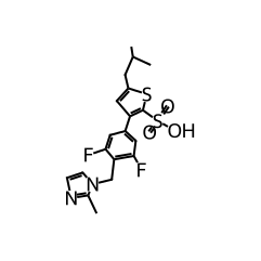 Cc1nccn1Cc1c(F)cc(-c2cc(CC(C)C)sc2S(=O)(=O)O)cc1F